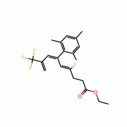 C=C(/C=C(\C=C(/F)CCC(=O)OCC)c1c(C)cc(C)cc1C)C(F)(F)F